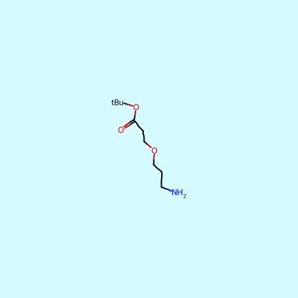 CC(C)(C)OC(=O)CCOCCCN